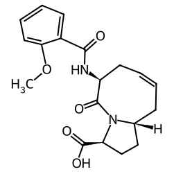 COc1ccccc1C(=O)N[C@H]1C/C=C\C[C@@H]2CC[C@@H](C(=O)O)N2C1=O